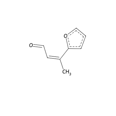 C/C(=C/C=O)c1ccco1